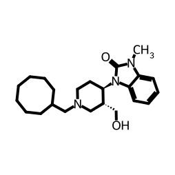 Cn1c(=O)n([C@@H]2CCN(CC3CCCCCCC3)C[C@H]2CO)c2ccccc21